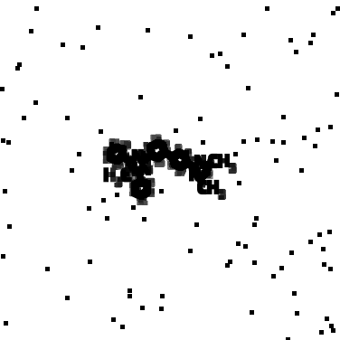 Cc1cc(C)nc(-c2ccc(-c3cccc(C4=NC(c5ccccc5)N(C)C(c5ccccc5)=N4)c3)cc2)n1